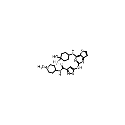 CN1CCC(NC(=O)c2cc(Nc3nc(NC4CCC(C)(O)CC4)c4sccc4n3)sn2)CC1